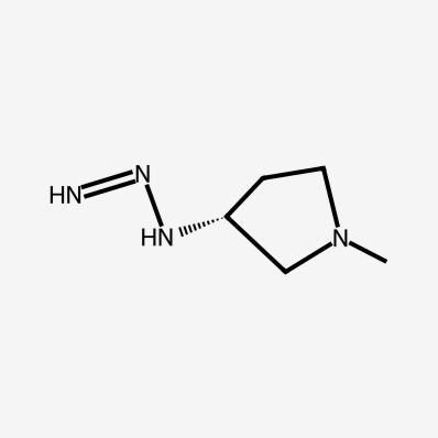 CN1CC[C@@H](NN=N)C1